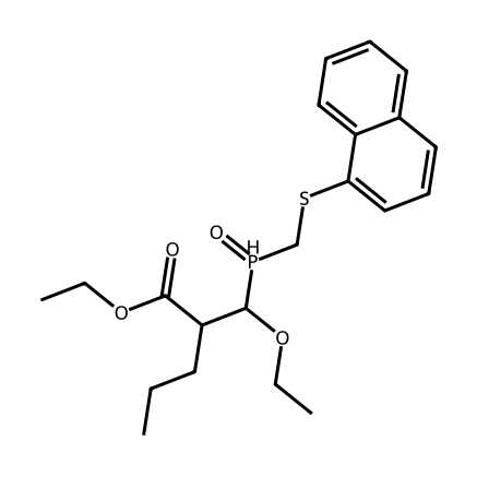 CCCC(C(=O)OCC)C(OCC)[PH](=O)CSc1cccc2ccccc12